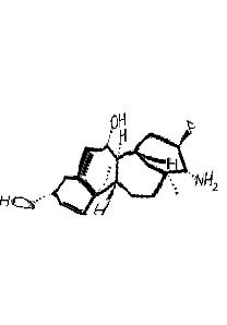 C[C@]12CC[C@H]3[C@@H]([C@@H](O)C=C4C[C@@H](O)C=C[C@@]43C)[C@@H]1C[C@@H](F)[C@@H]2N